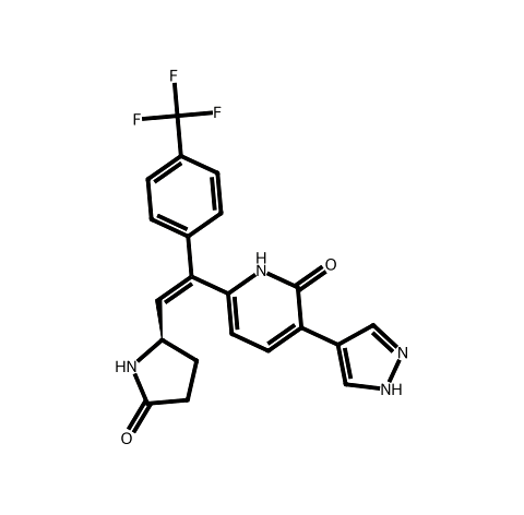 O=C1CC[C@H](/C=C(/c2ccc(C(F)(F)F)cc2)c2ccc(-c3cn[nH]c3)c(=O)[nH]2)N1